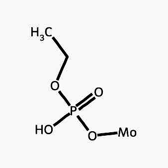 CCOP(=O)(O)[O][Mo]